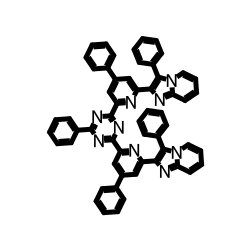 c1ccc(-c2cc(-c3nc(-c4ccccc4)nc(-c4cc(-c5ccccc5)cc(-c5nc6ccccn6c5-c5ccccc5)n4)n3)nc(-c3nc4ccccn4c3-c3ccccc3)c2)cc1